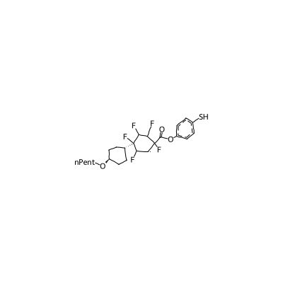 CCCCCO[C@H]1CC[C@H](C2(F)C(F)[CH]C(F)(C(=O)Oc3ccc(S)cc3)C(F)C2F)CC1